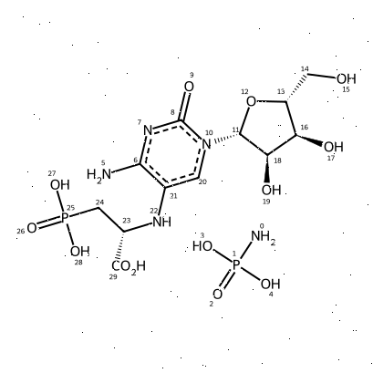 NP(=O)(O)O.Nc1nc(=O)n([C@@H]2O[C@H](CO)[C@@H](O)[C@H]2O)cc1N[C@@H](CP(=O)(O)O)C(=O)O